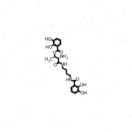 C[C@@H](OC(=O)c1cccc(O)c1O)[C@H](N)C(=O)NCCCCNC(=O)c1cccc(O)c1O